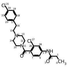 CCC(=O)Nc1ccc(C(=O)N2CCN(CCc3ccc(Cl)cc3)CC2)c(Cl)c1